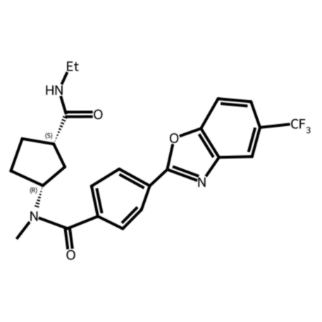 CCNC(=O)[C@H]1CC[C@@H](N(C)C(=O)c2ccc(-c3nc4cc(C(F)(F)F)ccc4o3)cc2)C1